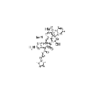 Nc1nc(N(C(=O)C=NOC2CCCC2)[C@@H]2C(=O)N3C(C(=O)O)=C(C(Cc4ccncc4)=C4CCNC4=O)CS[C@H]23)cs1.[NaH]